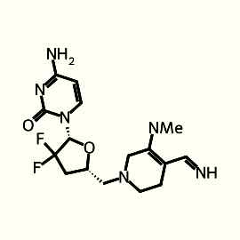 CNC1=C(C=N)CCN(C[C@@H]2CC(F)(F)[C@H](n3ccc(N)nc3=O)O2)C1